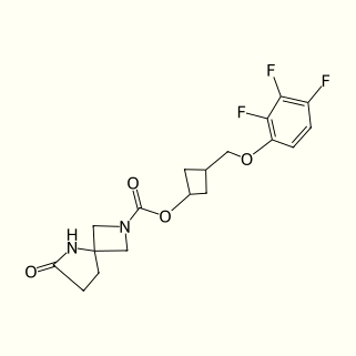 O=C1CCC2(CN(C(=O)OC3CC(COc4ccc(F)c(F)c4F)C3)C2)N1